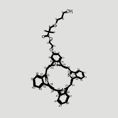 CC(C)(CSCCCO)C(=O)OCCOc1ccc2c3cc4nc(cc5[nH]c(cc6nc(cc([nH]3)c2c1)-c1ccccc1-6)c1ccccc51)-c1ccccc1-4